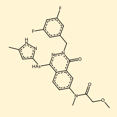 COCC(=O)N(C)c1ccc2c([AsH]c3cc(C)[nH]n3)nn(Cc3cc(F)cc(F)c3)c(=O)c2c1